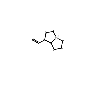 C=CC1CCN2CCCC12